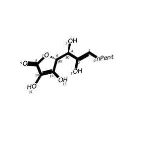 CCCCCC=C(O)[C@H](O)[C@H]1OC(=O)C(O)=C1O